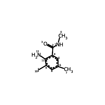 CNC(=O)c1cc(C)cc(I)c1N